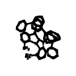 Cc1cccc2c1N1B(N2c2c(-c3ccccc3)cccc2-c2ccccc2)N(c2c(-c3ccccc3)cccc2-c2ccccc2)c2ccc[n+](C)c21